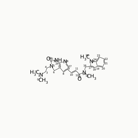 CN(C)CCN1Cc2cc(/C=C/C(=O)N(C)Cc3cc4ccccc4n3C)cnc2NC1=O